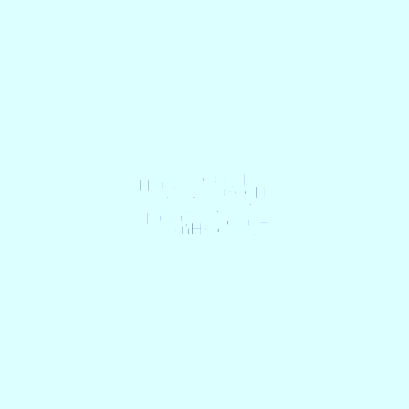 CCCCCCC(C(=O)O)(C(=O)O)C(C(=O)O)(C(=O)O)C(=O)O